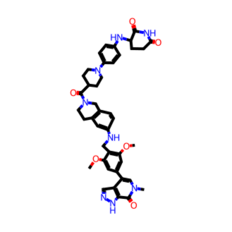 COc1cc(-c2cn(C)c(=O)c3[nH]ncc23)cc(OC)c1CNc1ccc2c(c1)CCN(C(=O)C1CCN(c3ccc(NC4CCC(=O)NC4=O)cc3)CC1)C2